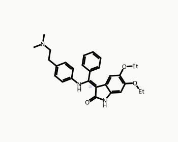 CCOc1cc2c(cc1OCC)/C(=C(/Nc1ccc(CCN(C)C)cc1)c1ccccc1)C(=O)N2